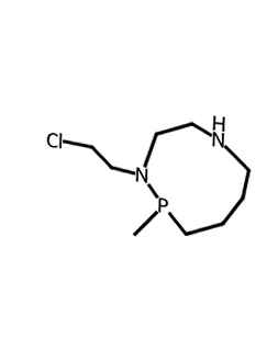 CP1CCCCNCCN1CCCl